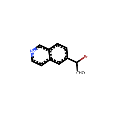 O=CC(Br)c1ccc2cnccc2c1